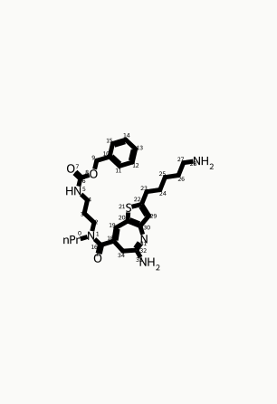 CCCN(CCCNC(=O)OCc1ccccc1)C(=O)C1=Cc2sc(CCCCCN)cc2N=C(N)C1